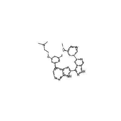 COc1cncc(-c2cc3c(-c4cc5c(-c6cc(F)cc(OCCN(C)C)c6)ccnc5[nH]4)n[nH]c3cn2)c1